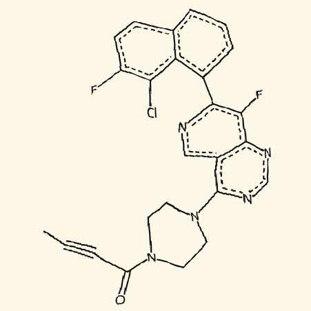 CC#CC(=O)N1CCN(c2ncnc3c(F)c(-c4cccc5ccc(F)c(Cl)c45)ncc23)CC1